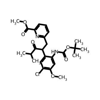 COC(=O)c1cccc(CC(C(=O)C(C)C)c2cc(Cl)c(OC)cc2NC(=O)OC(C)(C)C)n1